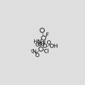 O=C(O)COc1c(Cl)cc(C(=O)N2CCC2)cc1S(=O)(=O)Nc1cc(-c2ccccc2)c(F)cc1F